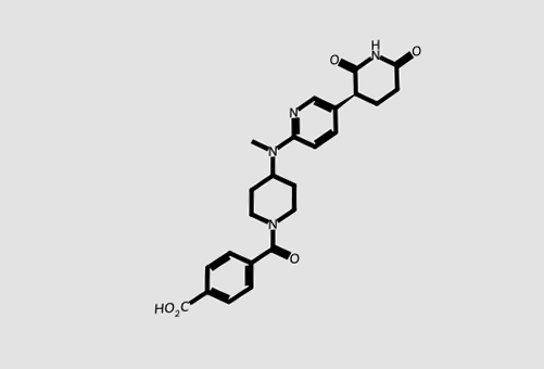 CN(c1ccc([C@@H]2CCC(=O)NC2=O)cn1)C1CCN(C(=O)c2ccc(C(=O)O)cc2)CC1